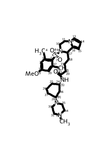 COc1cc(C)c(S(=O)(=O)N2CCn3cccc3C2CCCC(=O)N[C@H]2CCC[C@@H](N3CCN(C)CC3)C2)c(C)c1